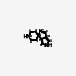 C1=NC2(CCNCC2)c2c[nH]cc21